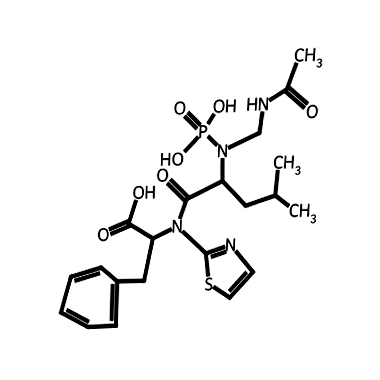 CC(=O)NCN(C(CC(C)C)C(=O)N(c1nccs1)C(Cc1ccccc1)C(=O)O)P(=O)(O)O